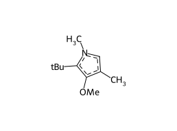 COc1c(C)cn(C)c1C(C)(C)C